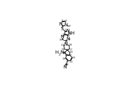 Cn1ccnc1Sc1n[nH]c2nc(N3CCC4(CC3)Cc3ccc(C#N)cc3[C@H]4N)cnc12